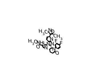 CNC(=O)c1cnc(-n2c([C@@H]3CCCC(=O)N3c3ccc(F)c(F)c3)nc3nc(-c4c(C)noc4C)ccc32)s1